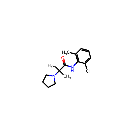 Cc1cccc(C)c1NC(=O)C(C)(C)N1CCCC1